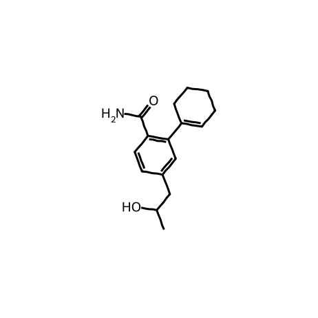 CC(O)Cc1ccc(C(N)=O)c(C2=CCCCC2)c1